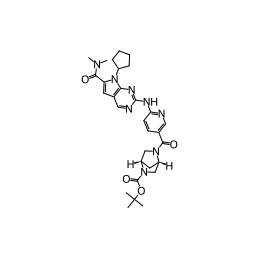 CN(C)C(=O)c1cc2cnc(Nc3ccc(C(=O)N4C[C@@H]5C[C@H]4CN5C(=O)OC(C)(C)C)cn3)nc2n1C1CCCC1